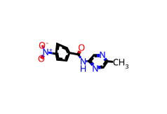 Cc1cnc(NC(=O)c2ccc([N+](=O)[O-])cc2)cn1